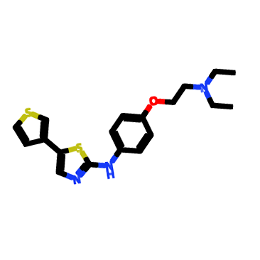 CCN(CC)CCOc1ccc(Nc2ncc(-c3ccsc3)s2)cc1